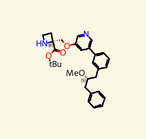 CO[C@@H](Cc1ccccc1)Cc1cccc(-c2cncc(OC[C@@]3(C(=O)OC(C)(C)C)CCN3)c2)c1